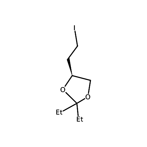 CCC1(CC)OC[C@H](CCI)O1